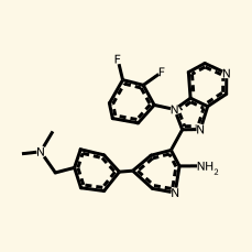 CN(C)Cc1ccc(-c2cnc(N)c(-c3nc4cnccc4n3-c3cccc(F)c3F)c2)cc1